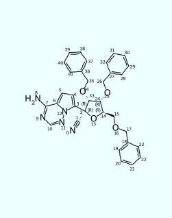 N#C[C@@]1(c2ccc3c(N)ncnn23)O[C@H](COCc2ccccc2)[C@@H](OCc2ccccc2)[C@H]1OCc1ccccc1